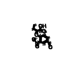 CCC(Oc1ccc(C=O)cc1[N+](=O)[O-])C(=O)O